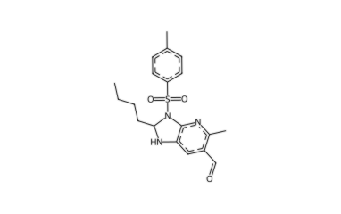 CCCCC1Nc2cc(C=O)c(C)nc2N1S(=O)(=O)c1ccc(C)cc1